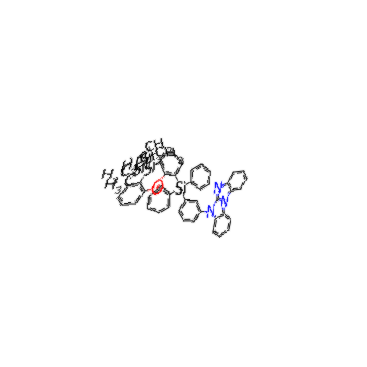 C[Si](C)(C)[Si]1([Si](C)(C)C)c2ccccc2Oc2c([Si](c3ccccc3)(c3ccccc3)c3cccc(-n4c5ccccc5n5c6ccccc6nc45)c3)cccc21